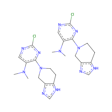 CN(C)c1cnc(Cl)nc1N1CCc2[nH]cnc2C1.CN(C)c1cnc(Cl)nc1N1CCc2[nH]cnc2C1